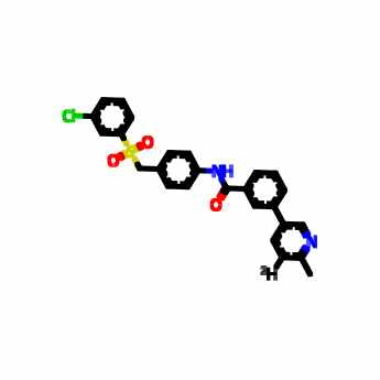 [2H]c1cc(-c2cccc(C(=O)Nc3ccc(CS(=O)(=O)c4cccc(Cl)c4)cc3)c2)cnc1C